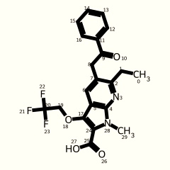 CCc1nc2c(cc1CC(=O)c1ccccc1)c(OCC(F)(F)F)c(C(=O)O)n2C